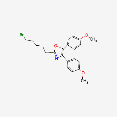 COc1ccc(-c2nc(CCCCCBr)oc2-c2ccc(OC)cc2)cc1